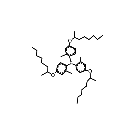 CCCCCCC(C)Oc1ccc(P(c2ccc(OC(C)CCCCCC)cc2C)c2ccc(OC(C)CCCCCC)cc2C)c(C)c1